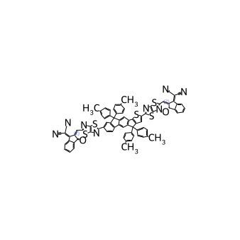 Cc1ccc(C2(c3ccc(C)cc3)c3cc(-c4nc5sc(/C=C6\C(=O)c7ccccc7C6=C(C#N)C#N)nc5s4)ccc3-c3cc4c(cc32)-c2sc(-c3nc5sc(/C=C6\C(=O)c7ccccc7C6=C(C#N)C#N)nc5s3)cc2C4(c2ccc(C)cc2)c2ccc(C)cc2)cc1